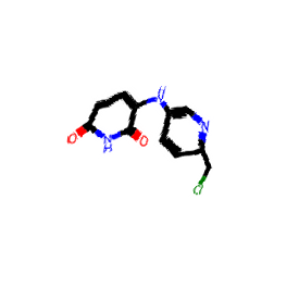 O=C1CCC(Nc2ccc(CCl)nc2)C(=O)N1